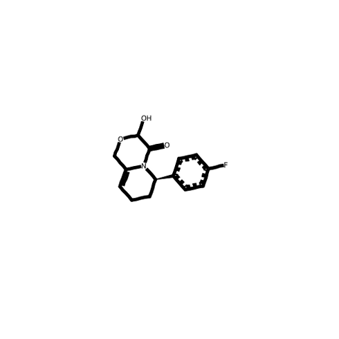 O=C1C(O)OCC2=CCC[C@H](c3ccc(F)cc3)N12